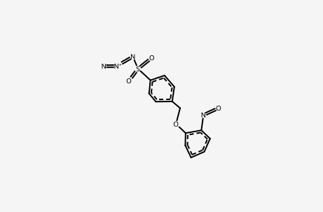 [N-]=[N+]=NS(=O)(=O)c1ccc(COc2ccccc2N=O)cc1